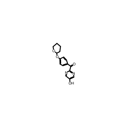 O=C(c1ccc(OC2CCCCO2)cc1)c1ncc(O)cn1